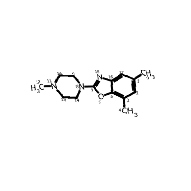 Cc1cc(C)c2oc(N3CCN(C)CC3)nc2c1